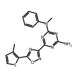 Cc1ccsc1-c1nc(-c2nc(N)nc(N(C)c3ccccc3)n2)no1